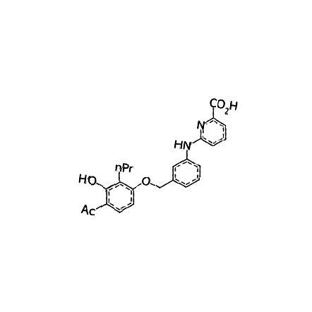 CCCc1c(OCc2cccc(Nc3cccc(C(=O)O)n3)c2)ccc(C(C)=O)c1O